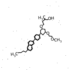 C=C(CO)CCOC1CC(OCCOC)CC(c2ccc(-c3ccc4cc(CCCCC)ccc4c3)cc2)C1